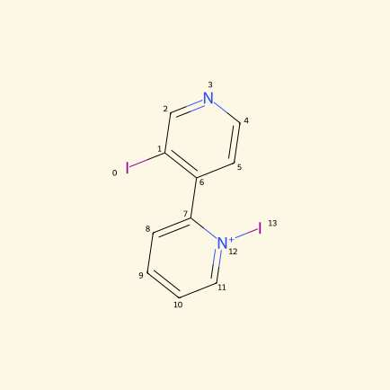 Ic1cnccc1-c1cccc[n+]1I